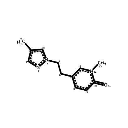 Cc1cnn(CCc2ccc(=O)n(C)c2)c1